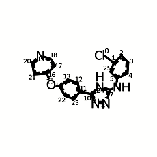 Clc1cccc(Nc2nnc(-c3ccc(Oc4ccncc4)cc3)[nH]2)c1